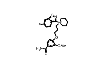 COc1cc(C(N)=O)ccc1OCCC[N+]1(c2noc3cc(F)ccc23)CCCCC1